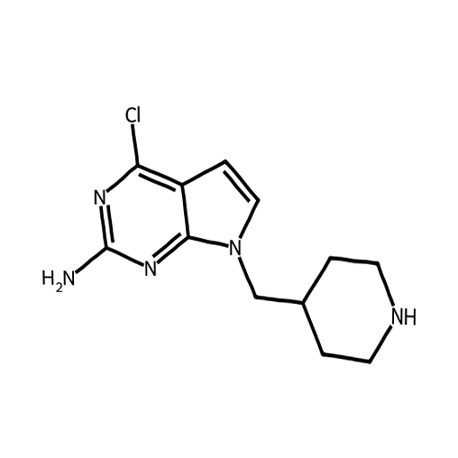 Nc1nc(Cl)c2ccn(CC3CCNCC3)c2n1